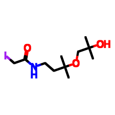 CC(C)(O)COC(C)(C)CCNC(=O)CI